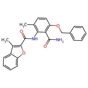 Cc1ccc(OCc2ccccc2)c(C(N)=O)c1NC(=O)c1oc2ccccc2c1C